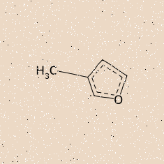 Cc1[c]occ1